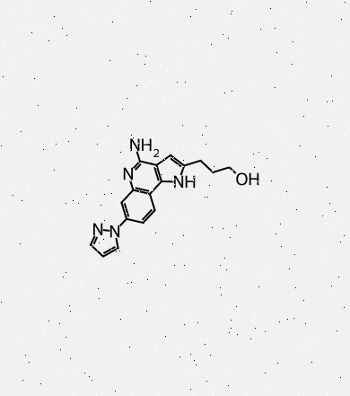 Nc1nc2cc(-n3cccn3)ccc2c2[nH]c(CCCO)cc12